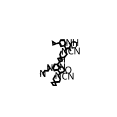 CN(C)CCN(C)c1cc(C2CC3(CCN(c4c(C#N)c(=O)[nH]c5ccc(C6CC6)cc45)CC3)C2)c2[nH]c(=O)c(C#N)c(N3CCC4(CCC4)CC3)c2c1